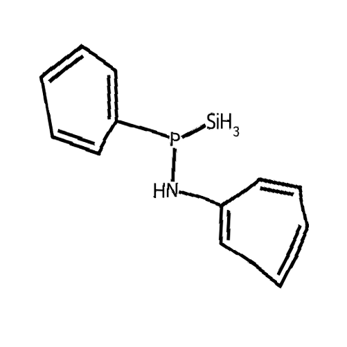 [SiH3]P(Nc1ccccc1)c1ccccc1